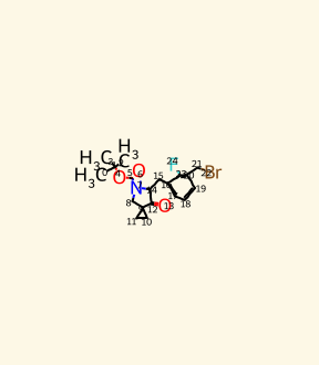 CC(C)(C)OC(=O)N1CC2(CC2)C(=O)C1Cc1cccc(CBr)c1F